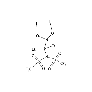 CCC(CC)(N(OI)OI)N(S(=O)(=O)C(F)(F)F)S(=O)(=O)C(F)(F)F